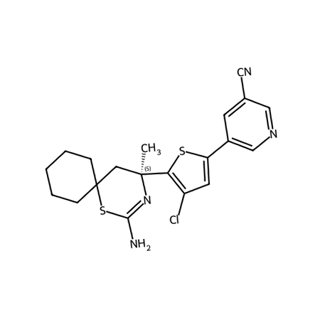 C[C@@]1(c2sc(-c3cncc(C#N)c3)cc2Cl)CC2(CCCCC2)SC(N)=N1